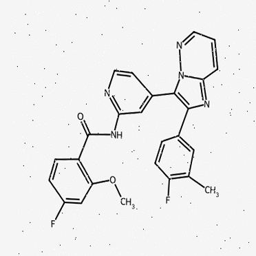 COc1cc(F)ccc1C(=O)Nc1cc(-c2c(-c3ccc(F)c(C)c3)nc3cccnn23)ccn1